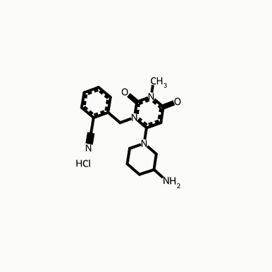 Cl.Cn1c(=O)cc(N2CCCC(N)C2)n(Cc2ccccc2C#N)c1=O